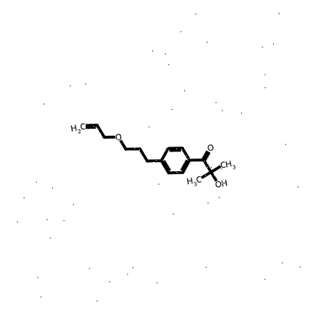 C=CCOCCCc1ccc(C(=O)C(C)(C)O)cc1